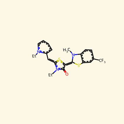 CCn1c(=O)/c(=C2\Sc3cc(C(F)(F)F)ccc3N2C)s/c1=C\c1cccc[n+]1CC